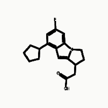 O=C(O)CC1CCn2c1cc1c(C3CCCC3)cc(F)cc12